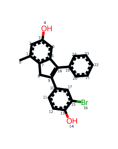 Cc1cc(O)cc2c1CC(c1ccc(O)c(Br)c1)=C2c1ccccc1